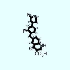 O=C(O)c1c[nH]c2ccc(Cc3ccc(-c4ccnc(F)c4)cc3F)cc2c1=O